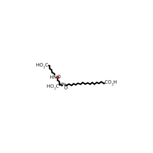 O=C(O)CCCCCCCCCCCCCCCCC(=O)NC[C@@H](CCC(=O)NCCCCCC(=O)O)C(=O)O